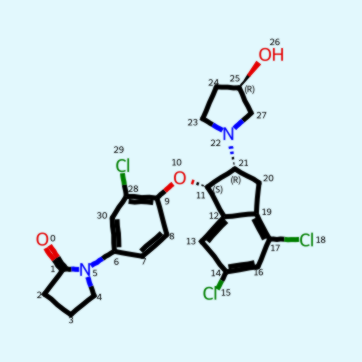 O=C1CCCN1c1ccc(O[C@H]2c3cc(Cl)cc(Cl)c3C[C@H]2N2CC[C@@H](O)C2)c(Cl)c1